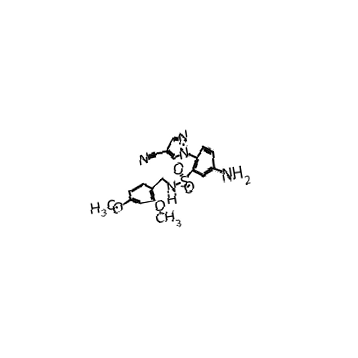 COc1ccc(CNS(=O)(=O)c2cc(N)ccc2-n2cc(C#N)cn2)c(OC)c1